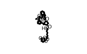 CCc1cccc(N(CC)C(=O)Cn2c(C(=O)N[C@H]3CC[C@H](C(=O)NCCCCCC(=O)ON4C(=O)CCC4=O)CC3)cc3ccccc32)c1